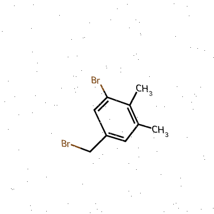 Cc1cc(CBr)cc(Br)c1C